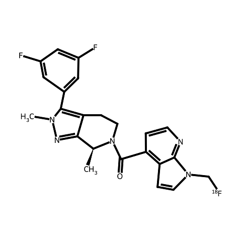 C[C@H]1c2nn(C)c(-c3cc(F)cc(F)c3)c2CCN1C(=O)c1ccnc2c1ccn2C[18F]